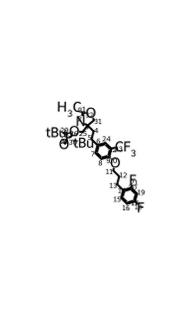 CC1=NC(CCc2ccc(OCCCc3ccc(F)cc3F)c(C(F)(F)F)c2)(COP(=O)(C(C)(C)C)C(C)(C)C)CO1